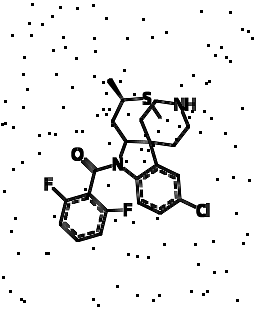 CS[C@H](C)CC1N(C(=O)c2c(F)cccc2F)c2ccc(Cl)cc2C12CCNCC2